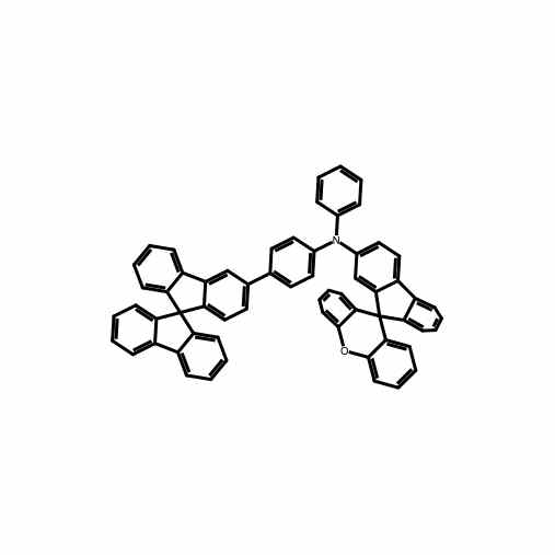 c1ccc(N(c2ccc(-c3ccc4c(c3)-c3ccccc3C43c4ccccc4-c4ccccc43)cc2)c2ccc3c(c2)C2(c4ccccc4Oc4ccccc42)c2ccccc2-3)cc1